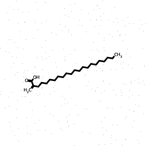 C=C(CCCCCCCCCCCCCCCCCCCC)C(=O)O